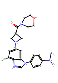 CN(C)c1ccc(-n2cnc3c(F)cc(N4CC(C(=O)N5CCOCC5)C4)cc32)cc1